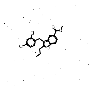 CCCc1oc2ccc(C(=O)OC)cc2c1Cc1ccc(Cl)cc1Cl